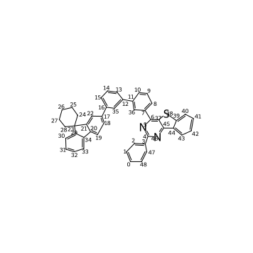 c1ccc(-c2nc(-c3cccc(-c4cccc(-c5ccc6c(c5)C5(CCCCC5)c5ccccc5-6)c4)c3)c3sc4ccccc4c3n2)cc1